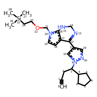 C#CCC(C1CCCC1)n1cc(C2=NCNc3c2ccn3COCC[Si](C)(C)C)cn1